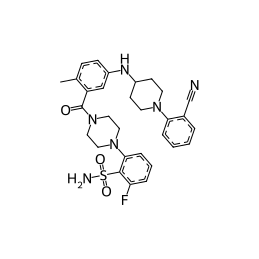 Cc1ccc(NC2CCN(c3ccccc3C#N)CC2)cc1C(=O)N1CCN(c2cccc(F)c2S(N)(=O)=O)CC1